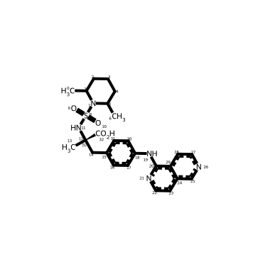 CC1CCCC(C)N1S(=O)(=O)N[C@@](C)(Cc1ccc(Nc2nccc3cnccc23)cc1)C(=O)O